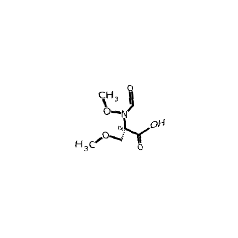 COC[C@@H](C(=O)O)N(C=O)OC